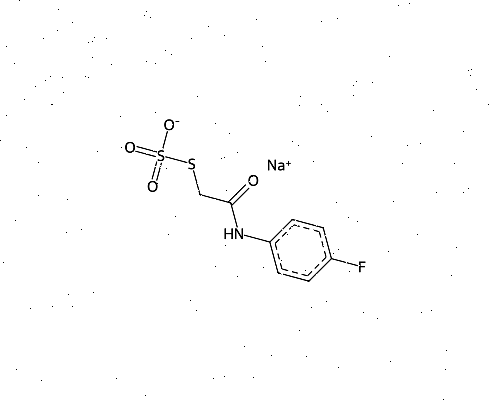 O=C(CSS(=O)(=O)[O-])Nc1ccc(F)cc1.[Na+]